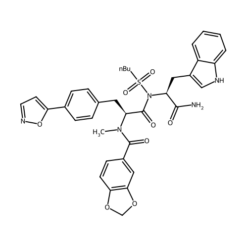 CCCCS(=O)(=O)N(C(=O)[C@H](Cc1ccc(-c2ccno2)cc1)N(C)C(=O)c1ccc2c(c1)OCO2)[C@@H](Cc1c[nH]c2ccccc12)C(N)=O